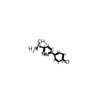 CN(N)c1ccc(-c2ccc(Cl)cc2)nn1